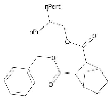 CCCCCC(CCC)COC(=O)C1C2CCC(C2)C1C(=O)OCc1ccccc1